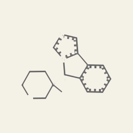 OC1([C@H]2c3ccccc3-c3cncn32)CCCOC1